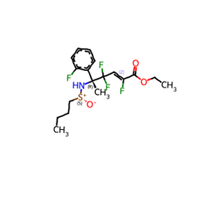 CCCC[S@@+]([O-])N[C@](C)(c1ccccc1F)C(F)(F)/C=C(\F)C(=O)OCC